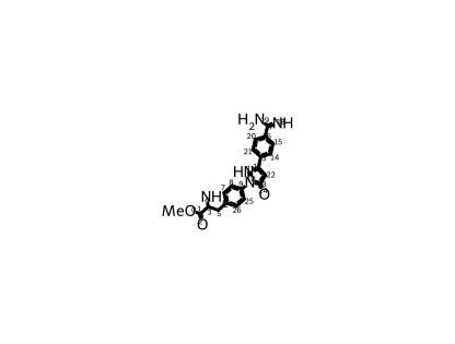 COC(=O)C(N)Cc1ccc(-n2[nH]c(-c3ccc(C(=N)N)cc3)cc2=O)cc1